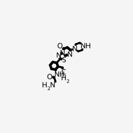 C=Cc1c(NC(=O)CN)cccc1-c1nn2c(=O)cc(N3CCNCC3)nc2s1